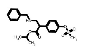 CC(C)OC(=O)C(CNCc1ccccc1)c1ccc(OS(C)(=O)=O)cc1